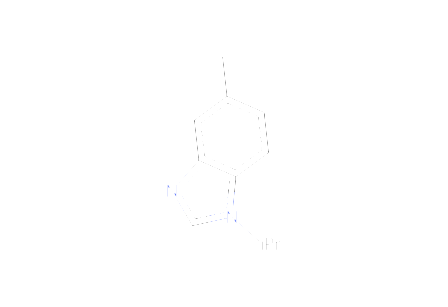 Cc1ccc2c(c1)ncn2C(C)C